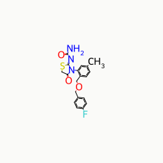 Cc1ccc(COCc2ccc(F)cc2)c(N2C(=O)CSC2=NC(N)=O)c1